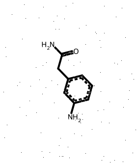 NC(=O)Cc1c[c]cc(N)c1